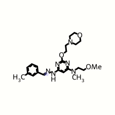 COCCN(C)c1cc(N/N=C/c2cccc(C)c2)nc(OCCN2CCOCC2)n1